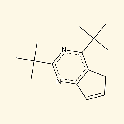 CC(C)(C)c1nc2c(c(C(C)(C)C)n1)CC=C2